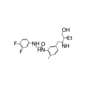 CC[C@H](CO)C(=N)Cc1ccc(C)c(NC(=O)CNc2ccc(F)c(F)c2)c1